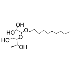 CCCCCCCCCCOC(OC(CO)[C@H](C)O)C(O)O